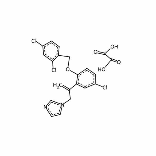 C=C(Cn1ccnc1)c1cc(Cl)ccc1OCc1ccc(Cl)cc1Cl.O=C(O)C(=O)O